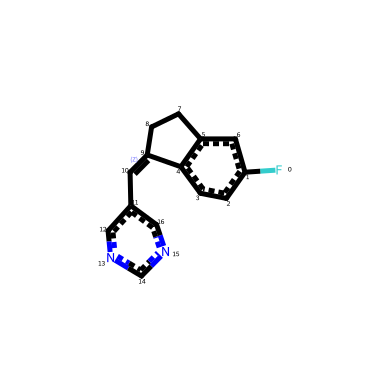 Fc1ccc2c(c1)CC/C2=C/c1cncnc1